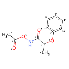 CC(=O)ONC(=O)C(C)Oc1ccccc1